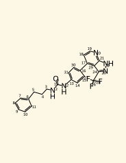 O=C(NCCCc1ccccc1)Nc1ccc(-c2ccnc3[nH]nc(C(F)(F)F)c23)cc1